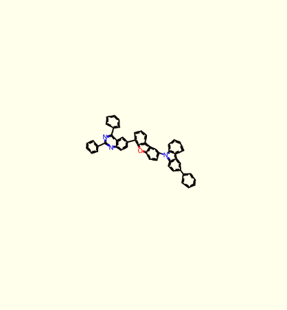 c1ccc(-c2ccc3c(c2)c2ccccc2n3-c2ccc3oc4c(-c5ccc6nc(-c7ccccc7)nc(-c7ccccc7)c6c5)cccc4c3c2)cc1